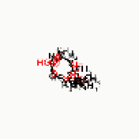 C=C1C(C)CC2CC[C@@H]3OC4C(C[C@]56CC(O)C(O5)[C@H]5CC(O6)C(O[Si](CC)(CC)CC)C(C/C=C/CC(O)CC6C(CC1O2)O[C@H](CC(CO[Si](CC)(CC)CC)O[Si](CC)(CC)CC)[C@@H]6OC)O5)C4C3=C